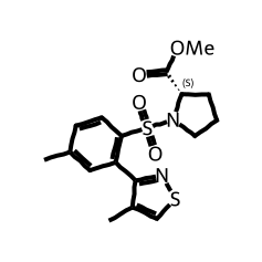 COC(=O)[C@@H]1CCCN1S(=O)(=O)c1ccc(C)cc1-c1nscc1C